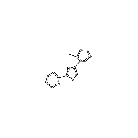 Cc1ccncc1-c1csc(-c2ccccn2)n1